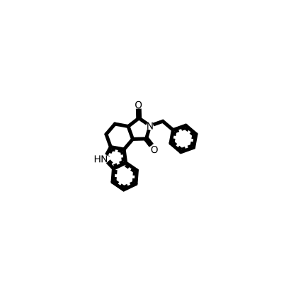 O=C1C2CCc3[nH]c4ccccc4c3C2C(=O)N1Cc1ccccc1